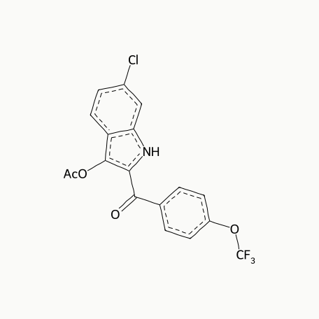 CC(=O)Oc1c(C(=O)c2ccc(OC(F)(F)F)cc2)[nH]c2cc(Cl)ccc12